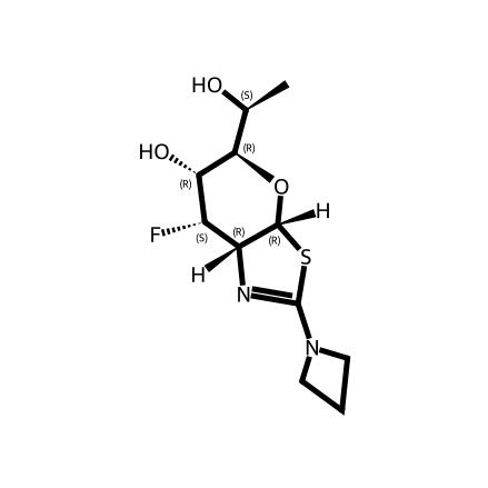 C[C@H](O)[C@H]1O[C@@H]2SC(N3CCC3)=N[C@@H]2[C@H](F)[C@@H]1O